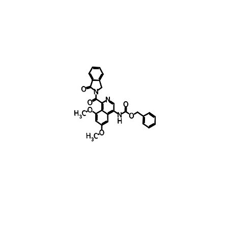 COc1cc(OC)c2c(C(=O)N3Cc4ccccc4C3=O)ncc(NC(=O)OCc3ccccc3)c2c1